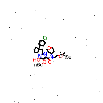 CCCCOc1c(O)nc(CC2(c3ccc(Cl)cc3)CCCC2)nc1C(=O)N(CCO[Si](C)(C)C(C)(C)C)C1CCOCC1